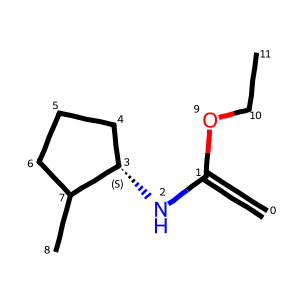 C=C(N[C@H]1CCCC1C)OCC